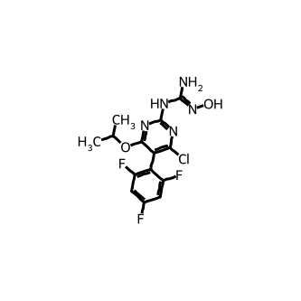 CC(C)Oc1nc(NC(N)=NO)nc(Cl)c1-c1c(F)cc(F)cc1F